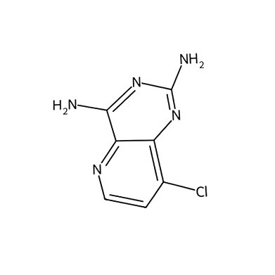 Nc1nc(N)c2nccc(Cl)c2n1